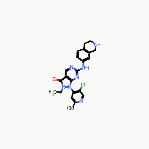 CC(C)(C)c1cc(-n2c3nc(Nc4ccc5c(c4)CNCC5)ncc3c(=O)n2CC(F)(F)F)c(Cl)cn1